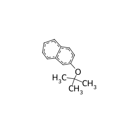 CC(C)(C)Oc1ccc2ccccc2c1